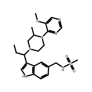 CCC(c1c[nH]c2ccc(CNS(C)(=O)=O)cc12)N1CCN(c2ncncc2OC)C(C)C1